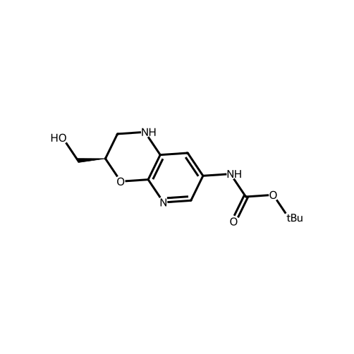 CC(C)(C)OC(=O)Nc1cnc2c(c1)NC[C@H](CO)O2